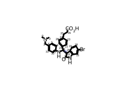 CN(C)Cc1ccc(N/C(=C2\C(=O)Nc3cc(Br)ccc32)c2ccc(CCC(=O)O)cc2)cc1